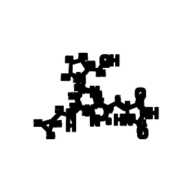 O=C1NC(=O)/C(=C/c2cnn3c(NCC4CC4)cc(N4CCCC4CO)nc23)N1